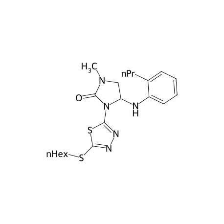 CCCCCCSc1nnc(N2C(=O)N(C)CC2Nc2ccccc2CCC)s1